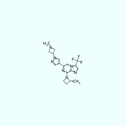 C[C@H]1CCN1c1nc(-c2cnn(C3CN(C)C3)c2)cn2c(C(F)(F)F)cnc12